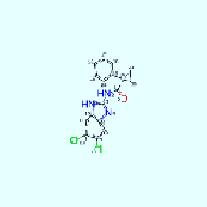 O=C(Nc1nc2cc(Cl)c(Cl)cc2[nH]1)C1(c2ccccc2)CC1